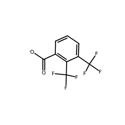 [O]C(=O)c1cccc(C(F)(F)F)c1C(F)(F)F